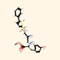 COC(=O)[C@H](Cc1ccc(O)cc1)N(N)/C=C(\N)CNS(=O)(=O)c1ccc(-c2ccccc2)s1